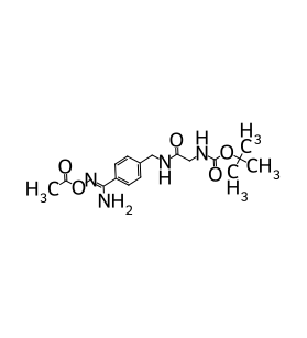 CC(=O)O/N=C(\N)c1ccc(CNC(=O)CNC(=O)OC(C)(C)C)cc1